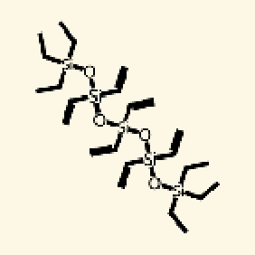 C=C[Si](C=C)(O[Si](CC)(CC)CC)O[Si](C=C)(C=C)O[Si](C=C)(C=C)O[Si](CC)(CC)CC